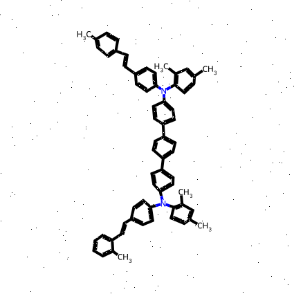 Cc1ccc(/C=C/c2ccc(N(c3ccc(-c4ccc(-c5ccc(N(c6ccc(/C=C/c7ccccc7C)cc6)c6ccc(C)cc6C)cc5)cc4)cc3)c3ccc(C)cc3C)cc2)cc1